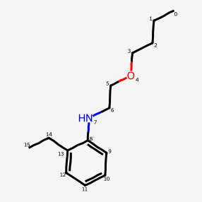 CCCCOCCNc1ccccc1CC